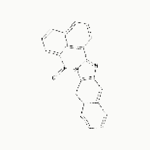 O=c1c2cccc3cccc(c32)c2nc3c(n12)CC1C=CC=CC1=C3